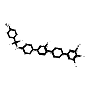 CC1CCC(C(F)(F)OC2CCC(c3ccc(C4CCC(c5cc(F)c(F)c(F)c5)CC4)c(F)c3)CC2)CC1